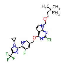 C[Si](C)(C)CCOCn1ccc2c(OCc3cnc(-c4nc(C(F)(F)F)cn4C4CC4)c(F)c3)nc(Cl)nc21